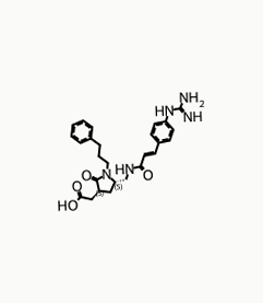 N=C(N)Nc1ccc(C=CC(=O)NC[C@@H]2C[C@@H](CC(=O)O)C(=O)N2CCCc2ccccc2)cc1